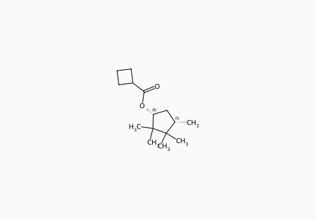 C[C@H]1C[C@@H](OC(=O)C2CCC2)C(C)(C)C1(C)C